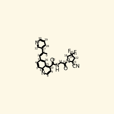 CC(=Cc1ccc2nccc(C(=O)NCC(=O)N3CC(F)(F)CC3C#N)c2c1)c1cccnc1